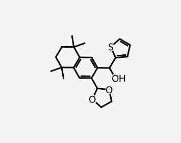 CC1(C)CCC(C)(C)c2cc(C(O)c3cccs3)c(C3OCCO3)cc21